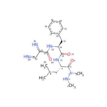 CNN(C)C(=O)[C@H](CC(C)C)NC(=O)[C@H](Cc1ccccc1)NC(=O)C(=N)C=N